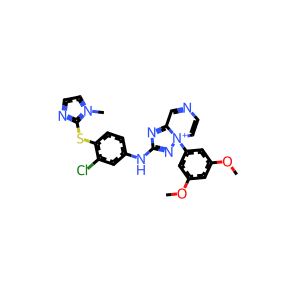 COc1cc(OC)cc([N+]23C=CN=CC2=NC(Nc2ccc(Sc4nccn4C)c(Cl)c2)=N3)c1